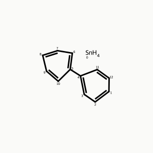 [SnH4].c1ccc(-c2ccccc2)cc1